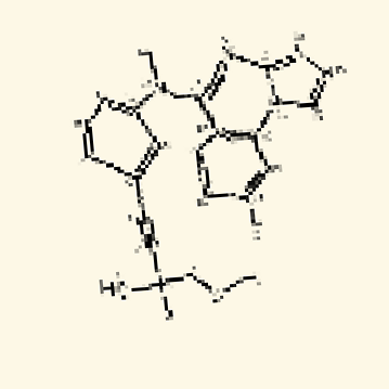 COCC(C)(O)C#Cc1cccc(N(C)c2nc3nncn3c3cc(Cl)ccc23)c1